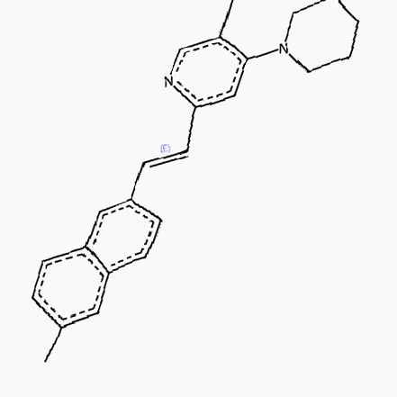 Cc1ccc2cc(/C=C/c3cc(N4CCCCC4)c(C)cn3)ccc2c1